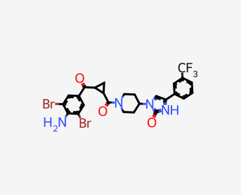 Nc1c(Br)cc(C(=O)C2CC2C(=O)N2CCC(n3cc(-c4cccc(C(F)(F)F)c4)[nH]c3=O)CC2)cc1Br